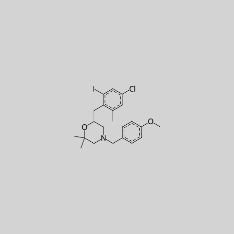 COc1ccc(CN2CC(Cc3c(C)cc(Cl)cc3I)OC(C)(C)C2)cc1